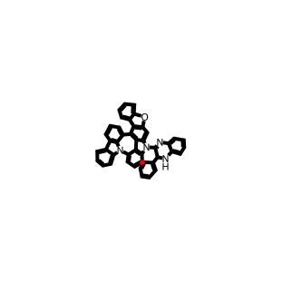 c1ccc(C2Nc3ccccc3N=C2n2c3cc4oc5ccccc5c4c4c5cccc6c7ccccc7n(c7cccc2c7c43)c65)cc1